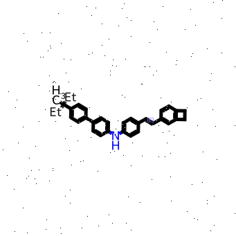 CCC(C)(CC)c1ccc(-c2ccc(Nc3ccc(/C=C/c4ccc5c(c4)CC5)cc3)cc2)cc1